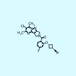 Cc1nc2c3c(nn2c(C)c1Cl)CN(C(=O)c1ccc(F)cc1O[C@H]1C[C@H](C#N)C1)C3